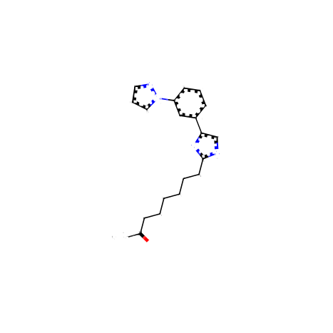 CNC(=O)CCCCCCc1ncc(-c2cccc(-n3cccn3)c2)[nH]1